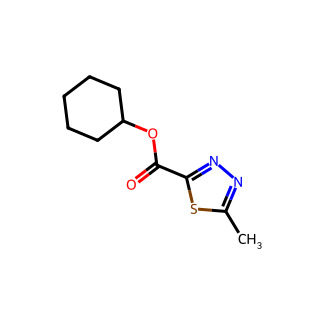 Cc1nnc(C(=O)OC2CCCCC2)s1